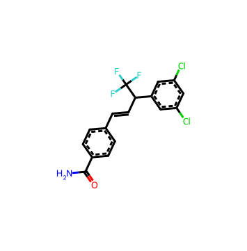 NC(=O)c1ccc(/C=C/C(c2cc(Cl)cc(Cl)c2)C(F)(F)F)cc1